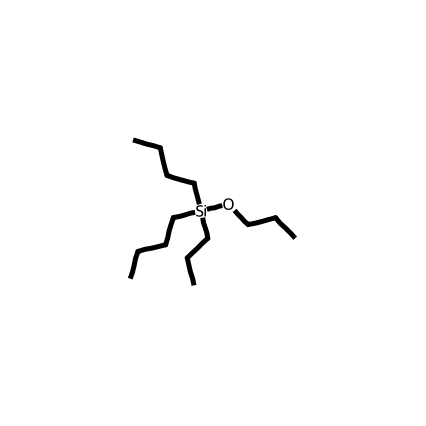 CCCC[Si](CCC)(CCCC)OCCC